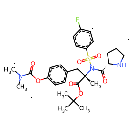 CN(C)C(=O)Oc1ccc(C[C@@](C)(C(=O)OC(C)(C)C)N(C(=O)[C@@H]2CCCN2)S(=O)(=O)c2ccc(F)cc2)cc1